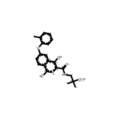 Cc1ccccc1Oc1ccc2c(C#N)nc(C(=O)NCC(C)(C)C(=O)O)c(O)c2c1